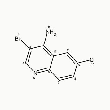 Nc1c(Br)cnc2ccc(Cl)cc12